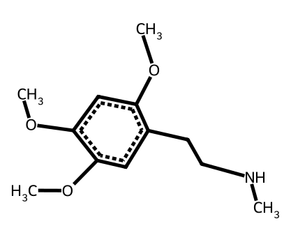 CNCCc1cc(OC)c(OC)cc1OC